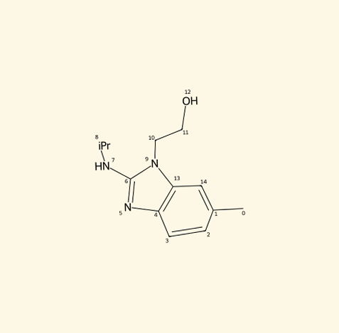 Cc1ccc2nc(NC(C)C)n(CCO)c2c1